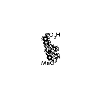 COC(=O)c1ccc(CN(CCCN(Cc2ccc(C(=O)O)cc2)C(=O)OCc2cncs2)C(=O)OCc2cncs2)cc1